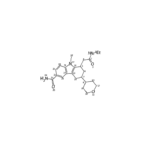 CCNC(=O)CC1CC(C2CCOCC2)Cc2c1n(C)c1ccc(C(N)=O)cc21